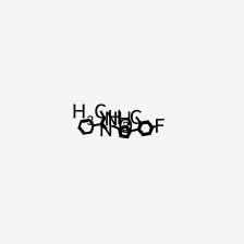 Cc1cc(F)ccc1-c1ccc(-c2nc(C3C=CC=CC3)c(C)[nH]2)o1